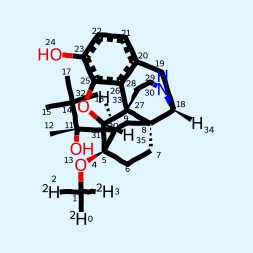 [2H]C([2H])([2H])O[C@]12CC[C@@]3(C[C@@H]1[C@](C)(O)C(C)(C)C)[C@H]1Cc4ccc(O)c5c4[C@@]3(CCN1)[C@H]2O5